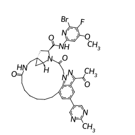 COc1cc(NC(=O)[C@@H]2C[C@]34CNC(=O)CCCCCCc5cc(-c6cnc(C)nc6)cc6c(C(C)=O)nn(c56)CC(=O)N2[C@@H]3C4)nc(Br)c1F